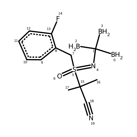 BC(B)(B)N=S(=O)(Cc1ccccc1F)C(C)(C)C#N